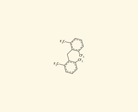 FC(F)(F)c1cccc(C(F)(F)F)c1Cc1c(C(F)(F)F)cccc1C(F)(F)F